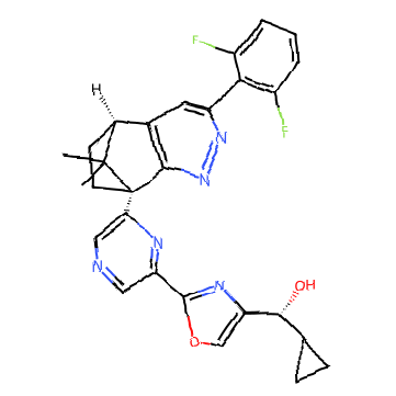 CC1(C)[C@H]2CC[C@]1(c1cncc(-c3nc([C@H](O)C4CC4)co3)n1)c1nnc(-c3c(F)cccc3F)cc12